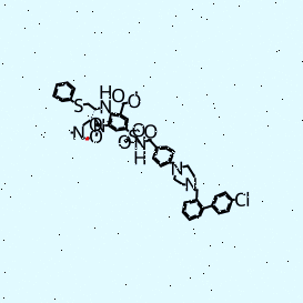 COC(=O)c1cc(S(=O)(=O)NC(=O)c2ccc(N3CCN(Cc4ccccc4-c4ccc(Cl)cc4)CC3)cc2)cc([N+](=O)OC)c1N[C@H](CCN(C)C)CSc1ccccc1